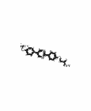 CCCCCCCCCCOc1ccc(-c2cnc(-c3ccc(OCC(F)CCC)cc3)nc2)cc1